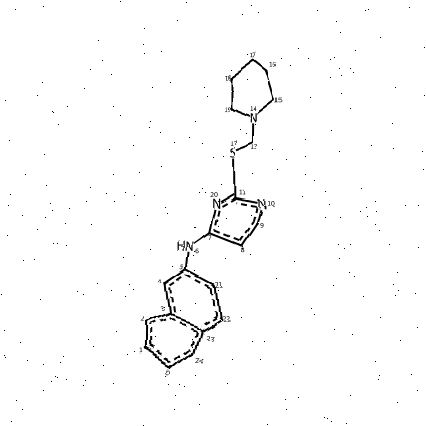 c1ccc2cc(Nc3ccnc(SCN4CCCCC4)n3)ccc2c1